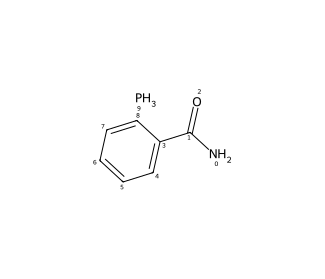 NC(=O)c1ccccc1.P